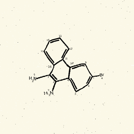 Nc1c(N)c2ccc(Br)cc2c2ccccc12